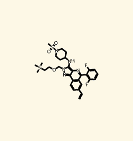 C=Cc1ccc2c(c1)c(-c1c(F)cccc1F)nc1c(NC3CCN(S(C)(=O)=O)CC3)n(COCC[Si](C)(C)C)nc12